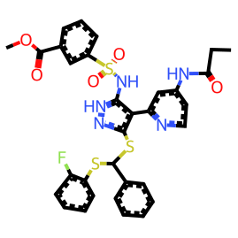 CCC(=O)Nc1ccnc(-c2c(SC(Sc3ccccc3F)c3ccccc3)n[nH]c2NS(=O)(=O)c2cccc(C(=O)OC)c2)c1